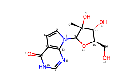 C[C@]1(O)C(n2ccc3c(=O)[nH]cnc32)O[C@H](CO)[C@H]1O